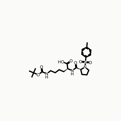 Cc1ccc(S(=O)(=O)N2CCC[C@H]2C(=O)N[C@@H](CCCCNC(=O)OC(C)(C)C)C(=O)O)cc1